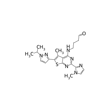 Cc1c(-c2ccn(C(C)C)n2)sc2nc(-c3nccn3C)nc(NCCCC=O)c12